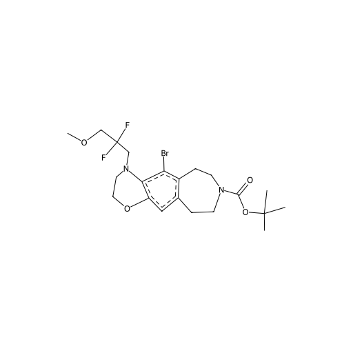 COCC(F)(F)CN1CCOc2cc3c(c(Br)c21)CCN(C(=O)OC(C)(C)C)CC3